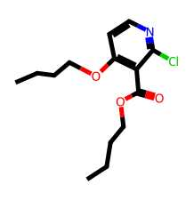 CCCCOC(=O)c1c(OCCCC)ccnc1Cl